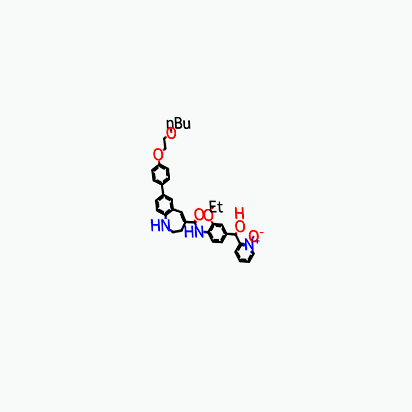 CCCCOCCOc1ccc(-c2ccc3c(c2)C=C(C(=O)Nc2ccc(C(O)c4cccc[n+]4[O-])cc2OCC)CCN3)cc1